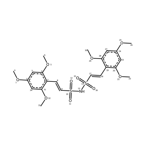 COc1cc(OC)c(/C=C/S(=O)(=O)NS(=O)(=O)/C=C/c2c(OC)cc(OC)cc2OC)c(OC)c1